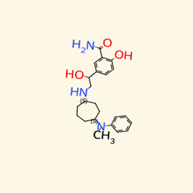 CN(c1ccccc1)[C@H]1CCC[C@H](NCC(O)c2ccc(O)c(C(N)=O)c2)CC1